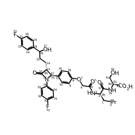 CC(C)C[C@@H](NC(=O)COc1ccc([C@@H]2[C@@H](CCC(O)c3ccc(F)cc3)C(=O)N2c2ccc(F)cc2)cc1)C(=O)N[C@@H](CO)C(=O)O